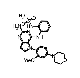 COc1cc(N2CCOCC2)ccc1-n1ccc2nc(N)nc(Nc3ccccc3NS(C)(=O)=O)c21